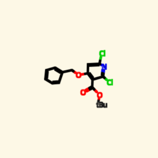 CC(C)(C)OC(=O)c1c(OCc2ccccc2)cc(Cl)nc1Cl